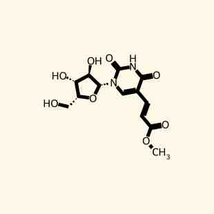 COC(=O)C=Cc1cn([C@@H]2O[C@H](CO)[C@H](O)[C@H]2O)c(=O)[nH]c1=O